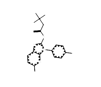 C=C(CC(C)(C)C)Nc1nc2ccc(Cl)nc2n1-c1ccc(F)cc1